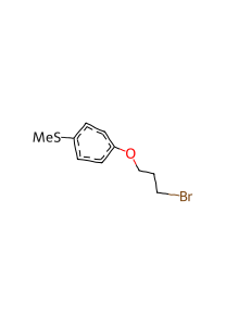 CSc1ccc(OCCCBr)cc1